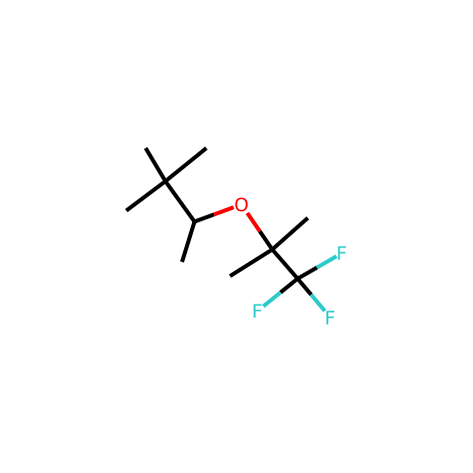 CC(OC(C)(C)C(F)(F)F)C(C)(C)C